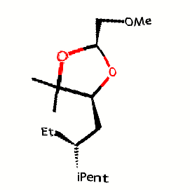 CCC[C@@H](C)[C@@H](CC)C[C@@H]1O[C@H](COC)OC1(C)C